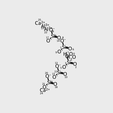 O.O.O=[Si]([O-])[O-].O=[Si]([O-])[O-].O=[Si]([O-])[O-].O=[Si]([O-])[O-].O=[Si]([O-])[O-].[Al+3].[Al+3].[Ca+2].[Ca+2]